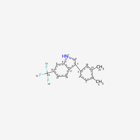 Cc1ccc(-c2c[nH]c3cc(C(F)(F)F)ccc23)cc1C